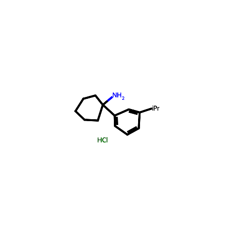 CC(C)c1cccc(C2(N)CCCCC2)c1.Cl